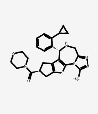 Cc1nnc2n1-c1sc3c(c1[C@H](c1ccccc1C1CC1)NC2)C[C@H](C(=O)N1CCOCC1)C3